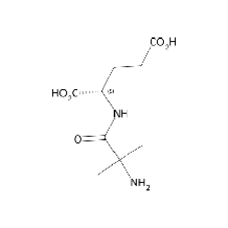 CC(C)(N)C(=O)N[C@@H](CCC(=O)O)C(=O)O